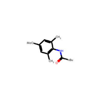 CCCCC(=O)Nc1c(C)cc(OC)cc1C